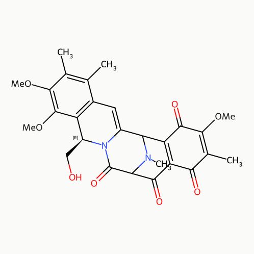 COC1=C(C)C(=O)C2=C(C1=O)C1C3=Cc4c(C)c(C)c(OC)c(OC)c4[C@H](CO)N3C(=O)C(C2=O)N1C